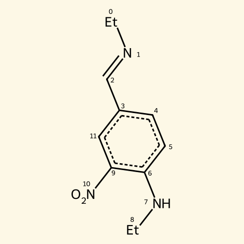 CCN=Cc1ccc(NCC)c([N+](=O)[O-])c1